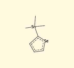 [CH3][Sn]([CH3])([CH3])[c]1ccc[se]1